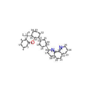 CC1(C)c2ccccc2Oc2c(-c3ccc(-c4ccc5ccc6cccnc6c5n4)cc3)cccc21